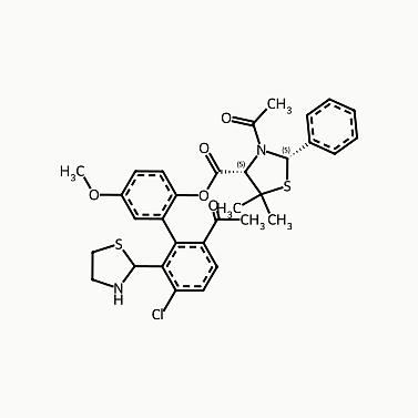 COc1ccc(OC(=O)[C@@H]2N(C(C)=O)[C@H](c3ccccc3)SC2(C)C)c(-c2c(C(C)=O)ccc(Cl)c2C2NCCS2)c1